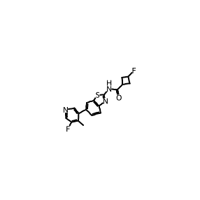 Cc1c(F)cncc1-c1ccc2nc(NC(=O)C3CC(F)C3)sc2c1